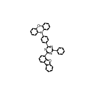 c1ccc(-c2nc(-c3ccc(N4c5ccccc5Oc5ccccc54)cc3)nc(-c3cccc4c3oc3ccccc34)n2)cc1